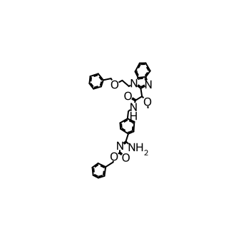 COC(C(=O)NCc1ccc(/C(N)=N/C(=O)OCc2ccccc2)cc1)c1nc2ccccc2n1CCOCc1ccccc1